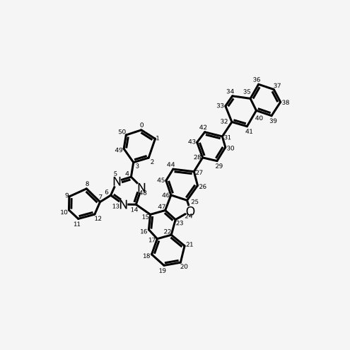 c1ccc(-c2nc(-c3ccccc3)nc(-c3cc4ccccc4c4oc5cc(-c6ccc(-c7ccc8ccccc8c7)cc6)ccc5c34)n2)cc1